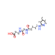 Cc1ccnc(NCCCCC(=O)NCC(=O)NCCC(=O)O)c1